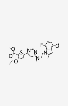 CCOc1cc(-c2cc(N(C)CCn3c(C)cc4c(OC)ccc(F)c43)ncn2)sc1C(=O)OC